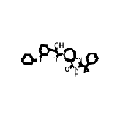 O=C(C(O)c1cccc(Oc2ccccc2)c1)N1CCCc2nc(C3(c4ccccc4)CC3)[nH]c(=O)c2C1